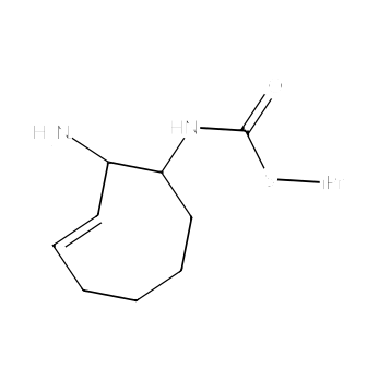 CC(C)SC(=O)NC1CCCC/C=C/C1N